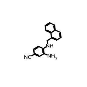 N#Cc1ccc(NCc2cccc3ccccc23)c(N)c1